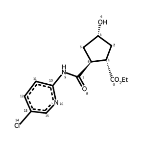 CCOC(=O)[C@H]1C[C@@H](O)C[C@@H]1C(=O)Nc1ccc(Cl)cn1